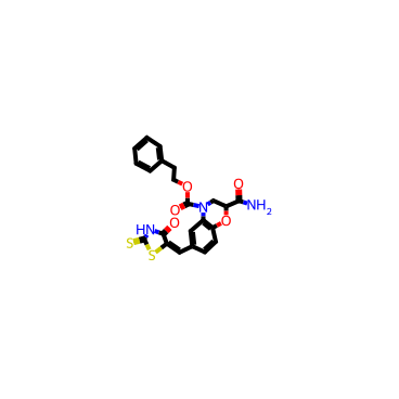 NC(=O)C1CN(C(=O)OCCc2ccccc2)c2cc(C=C3SC(=S)NC3=O)ccc2O1